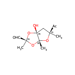 CC(=O)[C@]1(C)C[C@@]2(O)O[C@](C)(C=O)O[C@@]2(C)O1